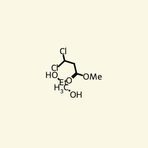 CCO.CO.COC(=O)CC(Cl)Cl